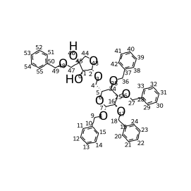 O[C@@H]1[C@@H](OC[C@H]2O[C@@H](OCc3ccccc3)[C@H](OCc3ccccc3)[C@@H](OCc3ccccc3)[C@@H]2OCc2ccccc2)OC[C@@]1(O)COCc1ccccc1